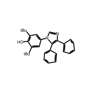 CC(C)(C)c1cc(-n2cnc(-c3ccccc3)c2-c2ccccc2)cc(C(C)(C)C)c1O